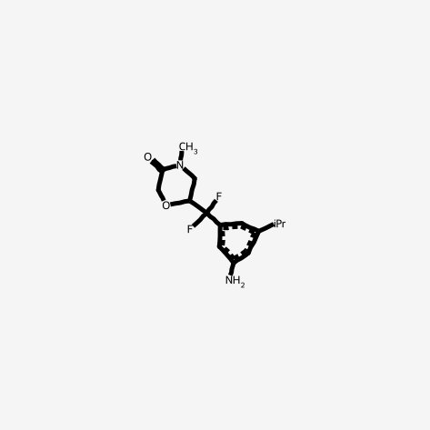 CC(C)c1cc(N)cc(C(F)(F)C2CN(C)C(=O)CO2)c1